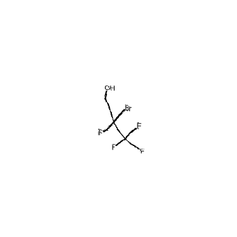 OCC(F)(Br)C(F)(F)F